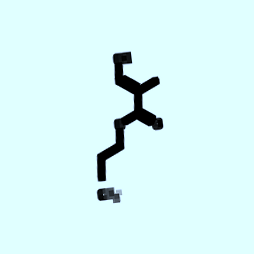 CCCOC(=O)C(C)=CO.[CH3]